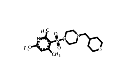 Cc1cc(C(F)(F)F)nc(C)c1S(=O)(=O)N1CCN(CC2CCOCC2)CC1